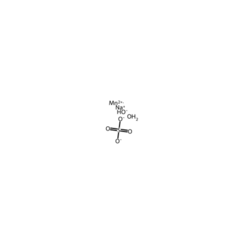 O.O=S(=O)([O-])[O-].[Mn+2].[Na+].[OH-]